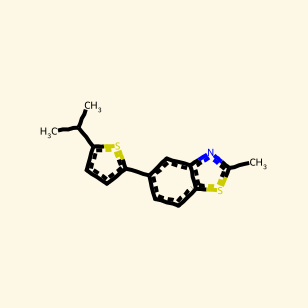 Cc1nc2cc(-c3ccc(C(C)C)s3)ccc2s1